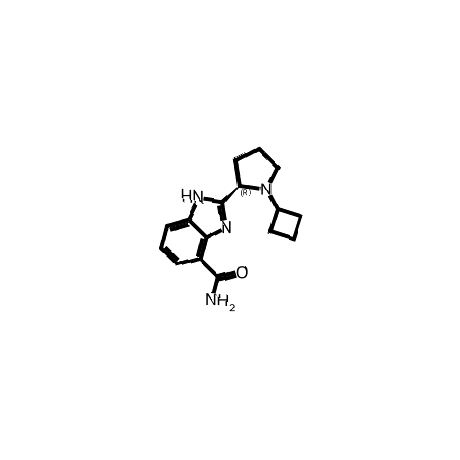 NC(=O)c1cccc2[nH]c([C@H]3CCCN3C3CCC3)nc12